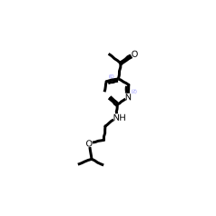 C=C(/N=C\C(=C/C)C(C)=O)NCCOC(C)C